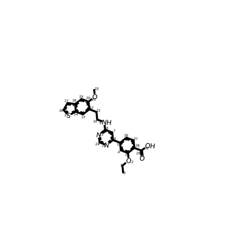 CCOc1cc(-c2cc(NCCc3cc4sccc4cc3OC)ncn2)ccc1C(=O)O